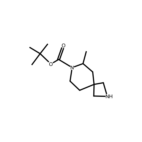 CC1CC2(CCN1C(=O)OC(C)(C)C)CNC2